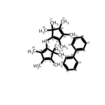 CC1=C(C)C(C)(C)[C]([Hf][C]2=C(C)C(C)=C(C)C2(C)C)=C1C.c1ccc(-c2ccccc2)cc1